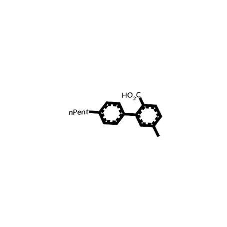 CCCCCc1ccc(-c2cc(C)ccc2C(=O)O)cc1